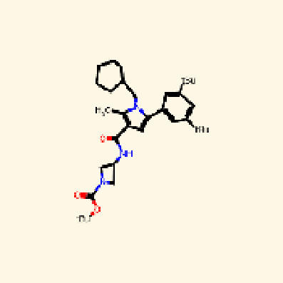 Cc1c(C(=O)NC2CN(C(=O)OC(C)(C)C)C2)cc(-c2cc(C(C)(C)C)cc(C(C)(C)C)c2)n1CC1CCCCC1